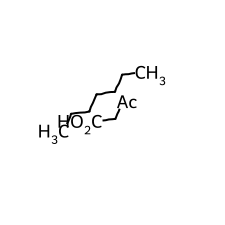 CC(=O)CC(=O)O.CCCCCCC